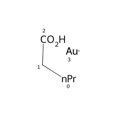 CCCCC(=O)O.[Au]